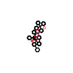 c1ccc(C2(c3ccccc3)c3ccccc3Oc3ccc(N(c4ccc5c(c4)C4(c6cc(C7CCCCC7)ccc6Oc6ccc(C7CCCCC7)cc64)c4ccccc4-5)c4ccccc4-c4cccc5oc6ccccc6c45)cc32)cc1